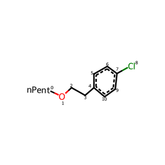 [CH2]CCCCOCCc1ccc(Cl)cc1